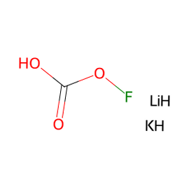 O=C(O)OF.[KH].[LiH]